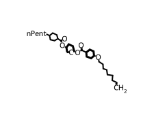 C=CCCCCCCCOc1ccc(C(=O)Oc2ccc(OC(=O)C3CCC(CCCCC)CC3)cc2)cc1